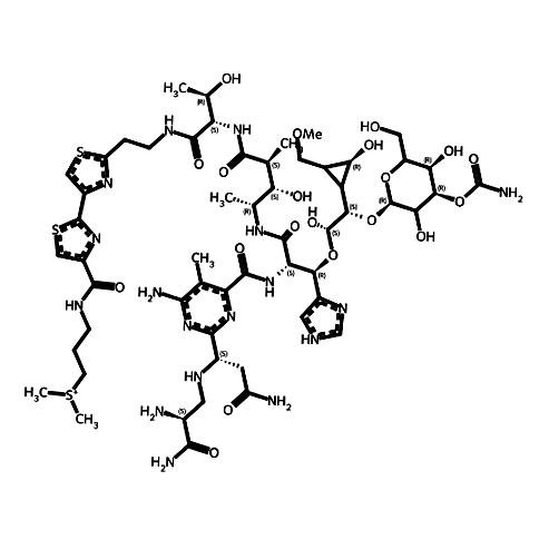 COCC1C([C@H](O[C@H]2OC(CO)[C@@H](O)[C@@H](OC(N)=O)C2O)[C@@H](O)O[C@@H](c2c[nH]cn2)[C@H](NC(=O)c2nc([C@H](CC(N)=O)NC[C@H](N)C(N)=O)nc(N)c2C)C(=O)N[C@H](C)[C@@H](O)[C@H](C)C(=O)N[C@H](C(=O)NCCc2nc(-c3nc(C(=O)NCCC[S+](C)C)cs3)cs2)[C@@H](C)O)[C@@H]1O